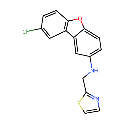 Clc1ccc2oc3ccc(NCc4nccs4)cc3c2c1